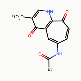 CCOC(=O)c1c[nH]c2c(=O)ccc(NC(=O)CC)cc2c1=O